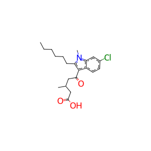 CCCCCCc1c(C(=O)CC(C)CC(=O)O)c2ccc(Cl)cc2n1C